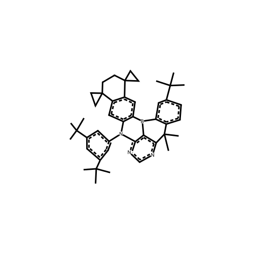 CC(C)(C)c1cc(N2c3cc4c(cc3B3c5cc(C(C)(C)C)ccc5C(C)(C)c5ncnc2c53)C2(CC2)CCC42CC2)cc(C(C)(C)C)c1